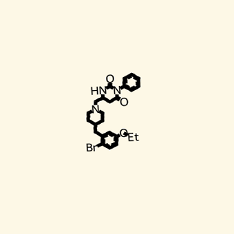 CCOc1ccc(Br)c(CC2CCN(CC3CC(=O)N(c4ccccc4)C(=O)N3)CC2)c1